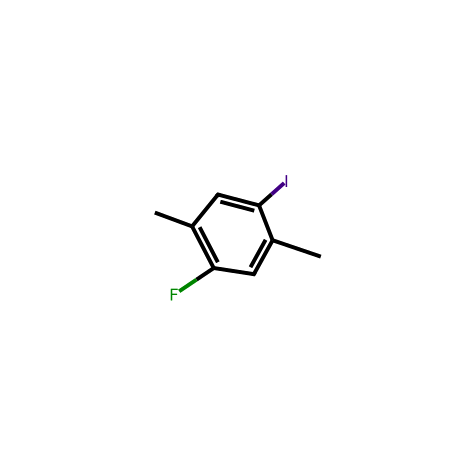 Cc1cc(I)c(C)cc1F